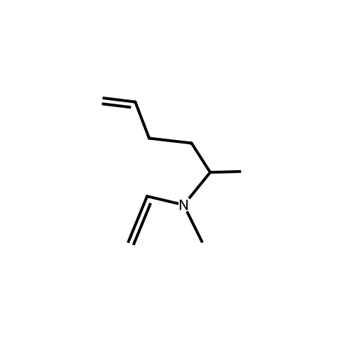 C=CCCC(C)N(C)C=C